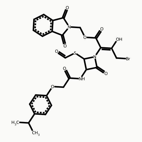 CC(C)c1ccc(OCC(=O)NC2C(=O)N(C(C(=O)OCN3C(=O)c4ccccc4C3=O)=C(O)CBr)C2SC=O)cc1